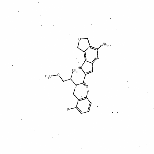 COCC(C)N(Cc1c(F)cccc1F)C(=O)c1cc2nc(N)c3c(c2[nH]1)COC3